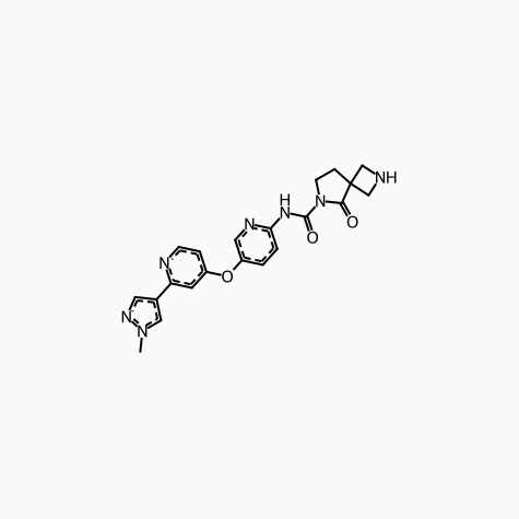 Cn1cc(-c2cc(Oc3ccc(NC(=O)N4CCC5(CNC5)C4=O)nc3)ccn2)cn1